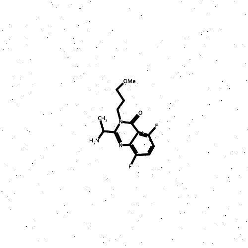 COCCCn1c(C(C)N)nc2c(F)ccc(F)c2c1=O